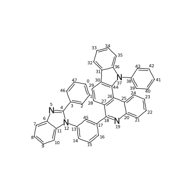 c1ccc(-c2nc3ccccc3n2-c2cccc(-c3nc4ccccc4c4c3ccc3c5ccccc5n(-c5ccccc5)c34)c2)cc1